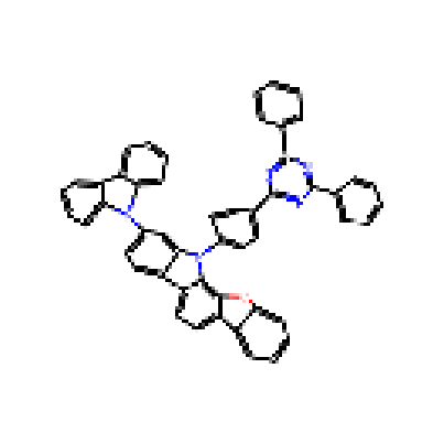 c1ccc(-c2nc(-c3ccccc3)nc(-c3ccc(-n4c5cc(-n6c7ccccc7c7ccccc76)ccc5c5ccc6c7ccccc7oc6c54)cc3)n2)cc1